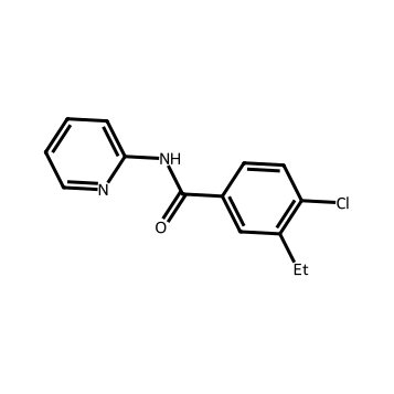 CCc1cc(C(=O)Nc2ccccn2)ccc1Cl